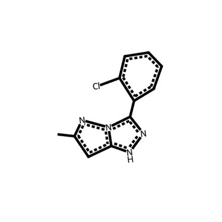 Cc1cc2[nH]nc(-c3ccccc3Cl)n2n1